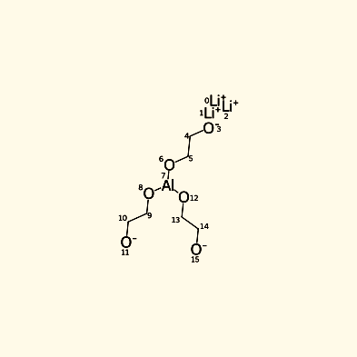 [Li+].[Li+].[Li+].[O-]CC[O][Al]([O]CC[O-])[O]CC[O-]